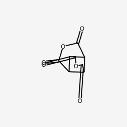 O=C1OC(=O)C2C3C(=O)OC(=O)C2C13